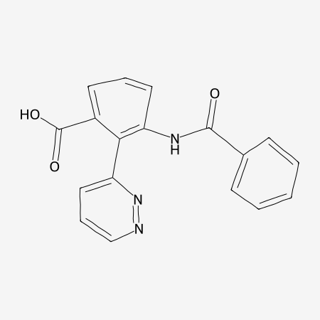 O=C(Nc1cccc(C(=O)O)c1-c1cccnn1)c1ccccc1